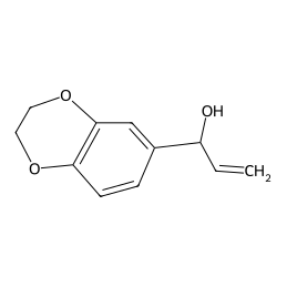 C=CC(O)c1ccc2c(c1)OCCO2